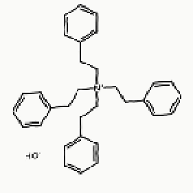 [OH-].c1ccc(CC[N+](CCc2ccccc2)(CCc2ccccc2)CCc2ccccc2)cc1